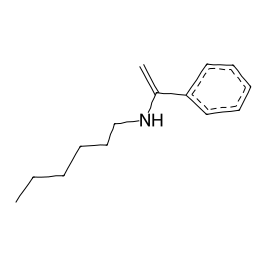 C=C(NCCCCCC)c1ccccc1